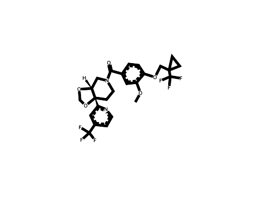 COc1cc(C(=O)N2CC[C@]3(c4cc(C(F)(F)F)ccn4)OCO[C@@H]3C2)ccc1OCC1(C(F)(F)F)CC1